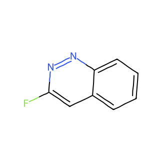 Fc1cc2ccccc2nn1